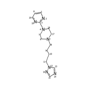 c1cnc(N2CCN(CCCCn3cncn3)CC2)nc1